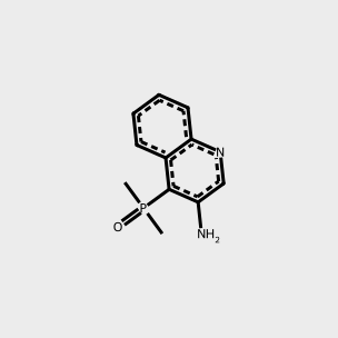 CP(C)(=O)c1c(N)cnc2ccccc12